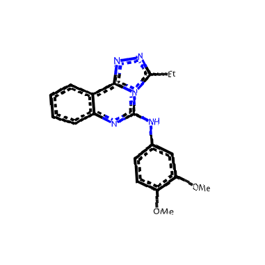 CCc1nnc2c3ccccc3nc(Nc3ccc(OC)c(OC)c3)n12